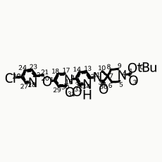 CC(C)(C)OC(=O)N1CCC2(CC1)CN(c1ccc(-n3ccc(OCc4ccc(Cl)cn4)cc3=O)c(=O)[nH]1)C2=O